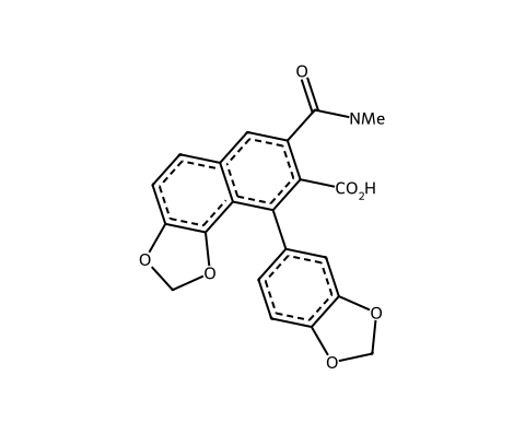 CNC(=O)c1cc2ccc3c(c2c(-c2ccc4c(c2)OCO4)c1C(=O)O)OCO3